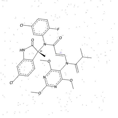 C=C(C(C)C)N(/C=C/C(=O)N(c1cc(Cl)ccc1F)[C@@]1(C)C(=O)Nc2cc(Cl)ccc21)c1c(OC)nc(OC)nc1OC